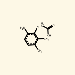 CC(=O)O.Cc1ccc(N)c(C)c1C